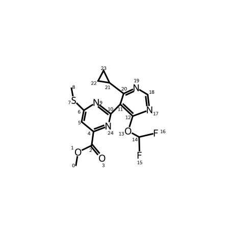 COC(=O)c1cc(SC)nc(-c2c(OC(F)F)ncnc2C2CC2)n1